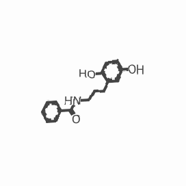 O=C(NCCCc1cc(O)ccc1O)c1ccccc1